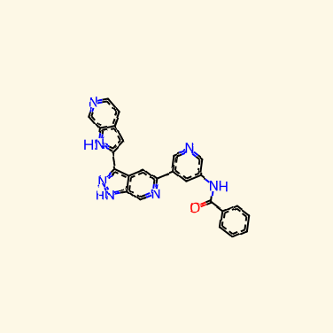 O=C(Nc1cncc(-c2cc3c(-c4cc5ccncc5[nH]4)n[nH]c3cn2)c1)c1ccccc1